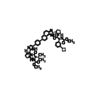 COC(=O)N[C@H](C(=O)N1[C@@H]2CC[C@@H](C2)[C@H]1c1ncc(-c2ccc(-c3ccc4c(ccc5nc([C@@H]6CCCN6C(=O)[C@H](NC(=O)OC)c6cccc(C7CCC7)c6)[nH]c54)c3)cc2)[nH]1)C(C)C